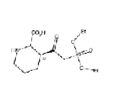 CCOP(=O)(CC(=O)[C@H]1CCCNC1C(=O)O)OCC